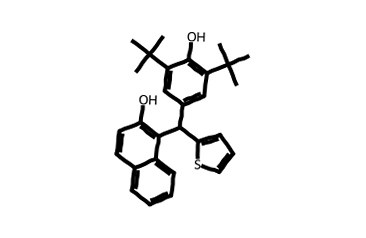 CC(C)(C)c1cc(C(c2cccs2)c2c(O)ccc3ccccc23)cc(C(C)(C)C)c1O